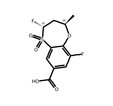 C[C@@H]1C[C@@H](F)S(=O)(=O)c2cc(C(=O)O)cc(F)c2O1